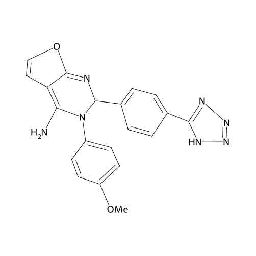 COc1ccc(N2C(N)=c3ccoc3=NC2c2ccc(-c3nnn[nH]3)cc2)cc1